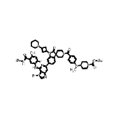 Cc1cc(F)c(Nc2nc(-c3ccc4c(c3)N(C3CC(N5CCCCC5)C3)C(=O)C43CCN(C(=O)c4ccc(N(C)C5CCN(C(=O)OC(C)(C)C)CC5)cc4)CC3)cc3ncn(C(C)C)c23)cc1C(=O)NC(C)C